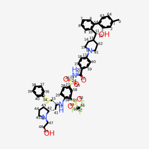 Cc1ccc(-c2ccccc2[C@H](O)C2CCN(c3ccc(C(=O)NS(=O)(=O)c4ccc(N[C@@H](CSc5ccccc5)C[C@H]5CCCN5CCO)c(S(=O)(=O)C(F)(F)F)c4)cc3)CC2)cc1